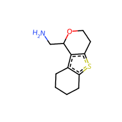 NCC1OCCc2sc3c(c21)CCCC3